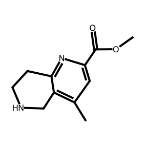 COC(=O)c1cc(C)c2c(n1)CCNC2